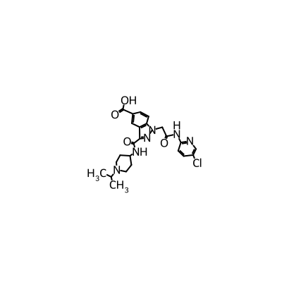 CC(C)N1CCC(NC(=O)c2nn(CC(=O)Nc3ccc(Cl)cn3)c3ccc(C(=O)O)cc23)CC1